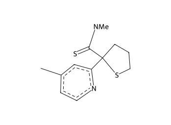 CNC(=S)C1(c2cc(C)ccn2)CCCS1